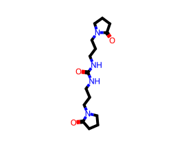 O=C(NCCCN1CCCC1=O)NCCCN1CCCC1=O